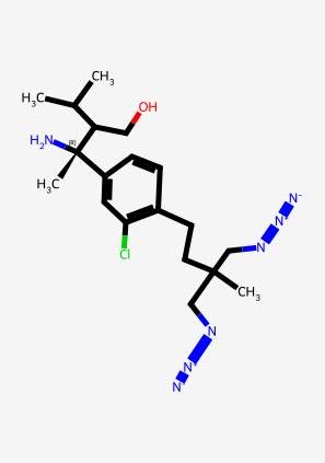 CC(C)C(CO)[C@@](C)(N)c1ccc(CCC(C)(CN=[N+]=[N-])CN=[N+]=[N-])c(Cl)c1